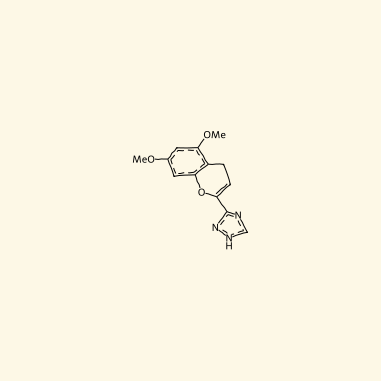 COc1cc(OC)c2c(c1)OC(c1nc[nH]n1)=CC2